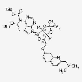 CN(C)Cc1ccc2ccc(OC[C@H]3O[C@@H](n4ccc5c(N(C(=O)OC(C)(C)C)C(=O)OC(C)(C)C)ncnc54)[C@@H]4OC(C)(C)O[C@@H]43)cc2n1